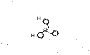 I.I.c1ccc([CH2][Sb]([CH2]c2ccccc2)[CH2]c2ccccc2)cc1